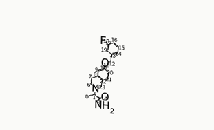 CC(C(N)=O)N1CCc2cc(OCc3cccc(F)c3)ccc2C1